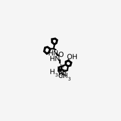 C[C@H]1[C@H]2Cc3ccc(O)cc3[C@]1(CCNC(=O)NCC(c1ccccc1)c1ccccc1)CCN2C